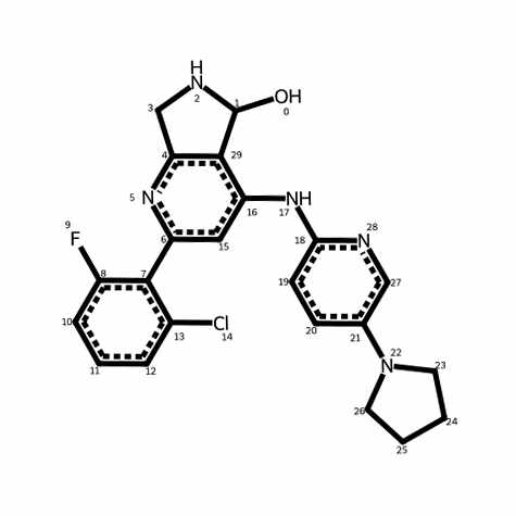 OC1NCc2nc(-c3c(F)cccc3Cl)cc(Nc3ccc(N4CCCC4)cn3)c21